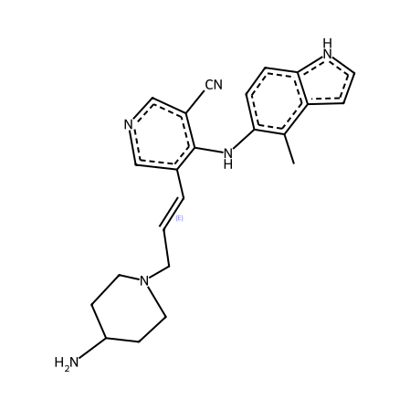 Cc1c(Nc2c(C#N)cncc2/C=C/CN2CCC(N)CC2)ccc2[nH]ccc12